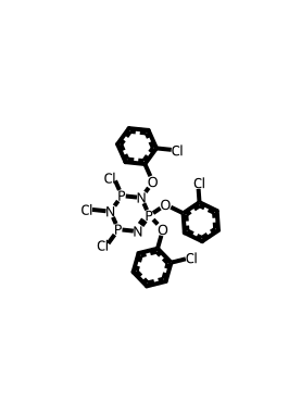 Clc1ccccc1ON1P(Cl)N(Cl)P(Cl)N=P1(Oc1ccccc1Cl)Oc1ccccc1Cl